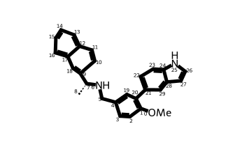 COc1ccc(CN[C@H](C)c2ccc3ccccc3c2)cc1-c1ccc2[nH]ccc2c1